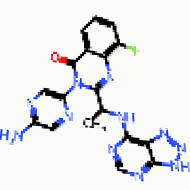 CC(Nc1ncnc2[nH]nnc12)c1nc2c(F)cccc2c(=O)n1-c1cnc(N)cn1